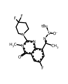 CC(=N[S@+]([O-])C(C)(C)C)c1cc(F)cc2c(=O)n(C)c(N3CCC(F)(F)CC3)nc12